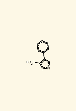 O=C(O)c1sncc1-c1ccccn1